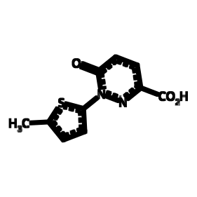 Cc1ccc(-n2nc(C(=O)O)ccc2=O)s1